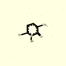 CCc1ccc(C)c(=O)n1C(C)C